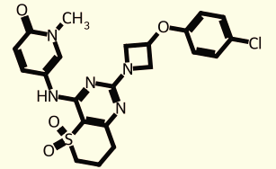 Cn1cc(Nc2nc(N3CC(Oc4ccc(Cl)cc4)C3)nc3c2S(=O)(=O)CCC3)ccc1=O